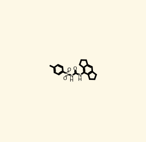 Cc1ccc(S(=O)(=O)NC(=O)Nc2c3c(cc4c2CCC4)CCC3)cc1